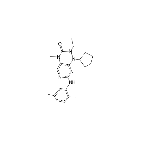 CCN1C(=O)N(C)c2cnc(Nc3cc(C)ccc3C)nc2N1C1CCCC1